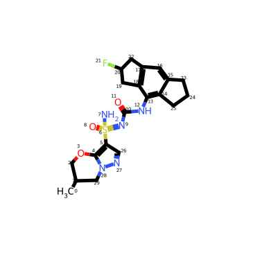 CC1COc2c(S(N)(=O)=NC(=O)Nc3c4c(cc5c3CC(F)C5)CCC4)cnn2C1